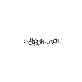 Cc1c(-c2nc3cc(Cl)ccc3[nH]2)ccc2c1ccn2CCCC1CCN(C)CC1